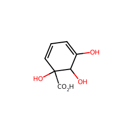 O=C(O)C1(O)C=CC=C(O)C1O